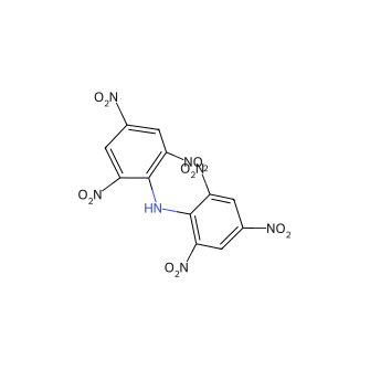 O=[N+]([O-])c1cc([N+](=O)[O-])c(Nc2c([N+](=O)[O-])cc([N+](=O)[O-])cc2[N+](=O)[O-])c([N+](=O)[O-])c1